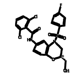 O=C(Nc1ccc2c(c1)N(S(=O)(=O)c1ccc(F)cc1)C[C@H](CO)O2)c1c(Cl)cccc1Cl